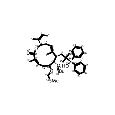 C/C=C(/C)[C@H]1C/C=C(\C)[C@@H](CC(C)(C)[Si](O)(c2ccccc2)c2ccccc2)[C@H](OCCCC)C(OCSC)C/C=C(/C)C(=O)O1